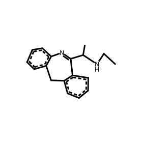 CCNC(C)C1=Nc2ccccc2Cc2ccccc21